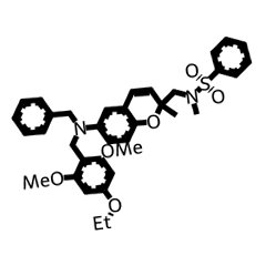 CCOc1cc(OC)c(CN(Cc2ccccc2)c2ccc3c(c2)C=CC(C)(CN(C)S(=O)(=O)c2ccccc2)O3)c(OC)c1